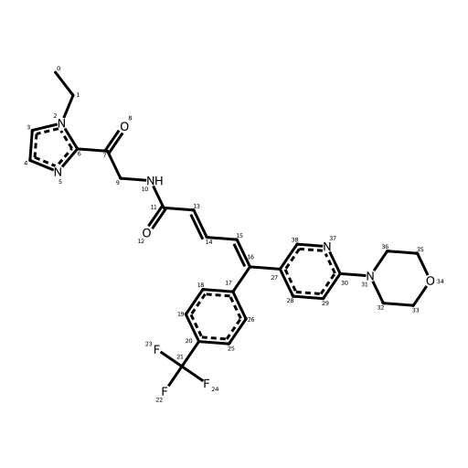 CCn1ccnc1C(=O)CNC(=O)/C=C/C=C(\c1ccc(C(F)(F)F)cc1)c1ccc(N2CCOCC2)nc1